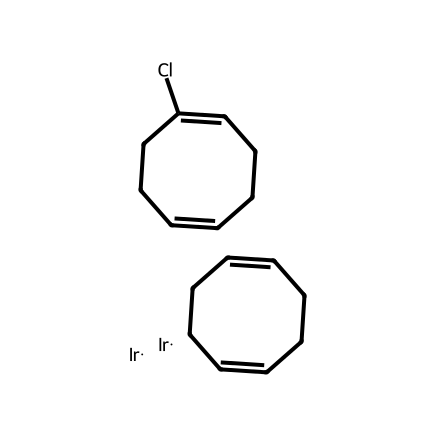 C1=C\CC/C=C\CC/1.Cl/C1=C/CC/C=C\CC1.[Ir].[Ir]